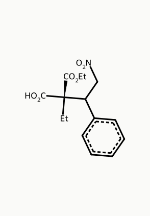 CCOC(=O)[C@@](CC)(C(=O)O)C(C[N+](=O)[O-])c1ccccc1